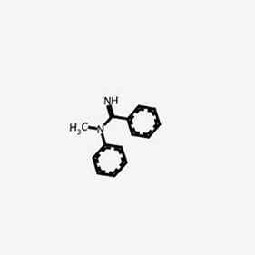 CN(C(=N)c1ccccc1)c1ccccc1